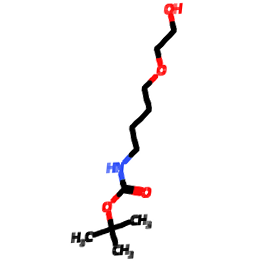 CC(C)(C)OC(=O)NCCCCOCCO